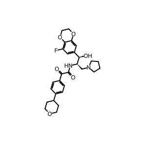 O=C(N[C@H](CN1CCCC1)[C@H](O)c1cc(F)c2c(c1)OCCO2)C(=O)c1ccc(C2CCOCC2)cc1